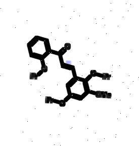 COc1cc(OC(C)C)cc(/C=C/C(=O)c2ccccc2OC(C)C)c1OC(C)C